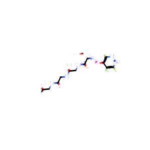 CC(=O)CNC(=O)CNC(=O)CNC(=O)[C@H](CO)NOc1c(F)nnc(F)c1F